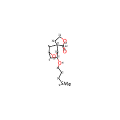 CSCCCOC1CC2CC3(CCOC3=O)C1O2